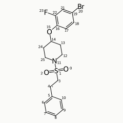 O=S(=O)(C[CH]c1ccccc1)N1CCC(Oc2ccc(Br)cc2F)CC1